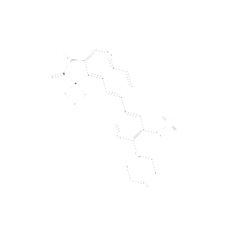 CN1C(=O)C2(CCC2)c2c1cnc1ccc(-c3cnc(N4CCNCC4)c(NS(C)(=O)=O)c3)cc21